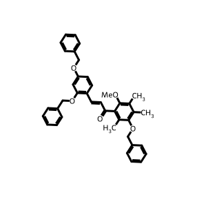 COc1c(C)c(C)c(OCc2ccccc2)c(C)c1C(=O)C=Cc1ccc(OCc2ccccc2)cc1OCc1ccccc1